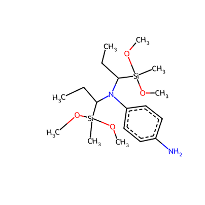 CCC(N(c1ccc(N)cc1)C(CC)[Si](C)(OC)OC)[Si](C)(OC)OC